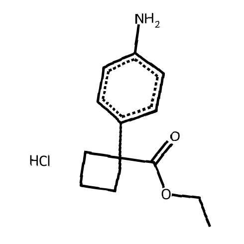 CCOC(=O)C1(c2ccc(N)cc2)CCC1.Cl